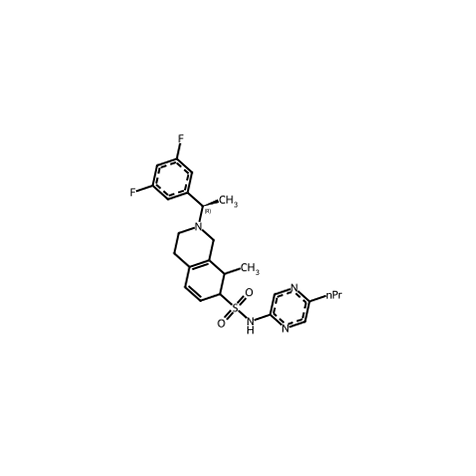 CCCc1cnc(NS(=O)(=O)C2C=CC3=C(CN([C@H](C)c4cc(F)cc(F)c4)CC3)C2C)cn1